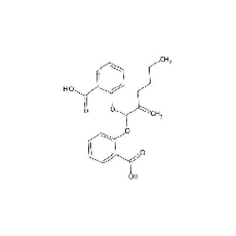 C=C(CCCC)C(Oc1ccccc1C(=O)O)Oc1ccccc1C(=O)O